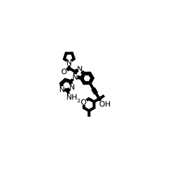 CC1COCC(C(C)(O)C#Cc2ccc3nc(C(=O)N4CCCC4)n(-c4ccnc(N)n4)c3c2)C1